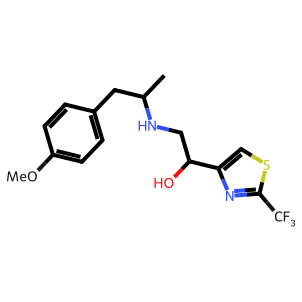 COc1ccc(CC(C)NCC(O)c2csc(C(F)(F)F)n2)cc1